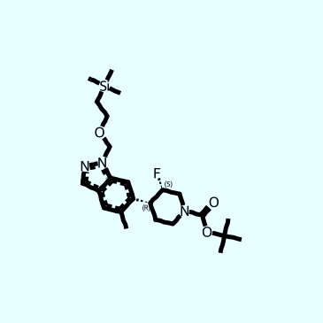 Cc1cc2cnn(COCC[Si](C)(C)C)c2cc1[C@H]1CCN(C(=O)OC(C)(C)C)C[C@H]1F